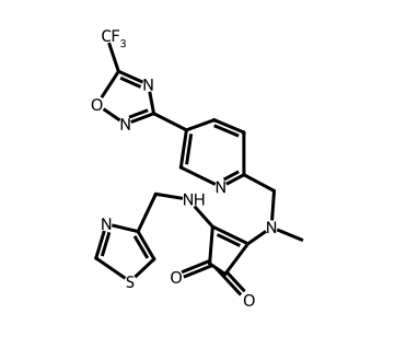 CN(Cc1ccc(-c2noc(C(F)(F)F)n2)cn1)c1c(NCc2cscn2)c(=O)c1=O